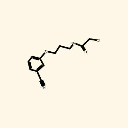 N#Cc1cccc(OCCCNC(=O)CCl)c1